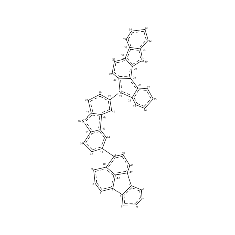 c1ccc2c(c1)-c1cccc3c(-c4ccc5sc6ccc(-n7c8ccccc8c8c9sc%10ccccc%10c9ccc87)cc6c5c4)ccc-2c13